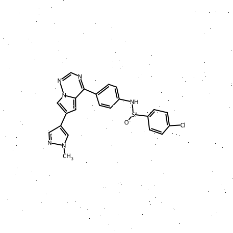 Cn1cc(-c2cc3c(-c4ccc(N[S+]([O-])c5ccc(Cl)cc5)cc4)ncnn3c2)cn1